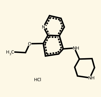 CCOc1ccc(NC2CCNCC2)c2cccnc12.Cl